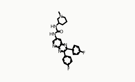 CN1CCCC(NC(=O)Nc2cnc3nc(-c4ccc(F)cc4)c(-c4ccc(F)cc4)nc3c2)C1